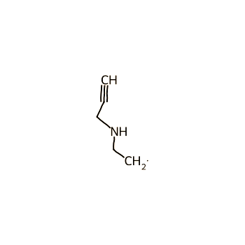 C#CCNC[CH2]